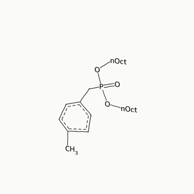 CCCCCCCCOP(=O)(Cc1ccc(C)cc1)OCCCCCCCC